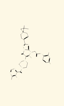 CCc1c(N2CCN(C(=O)c3ncnc(C)c3O)CC2)c(=O)n2nc(C3=CCC4(CC3)CC4(F)F)nc2n1CC(=O)Nc1ccc(C(F)(F)F)cc1Cl